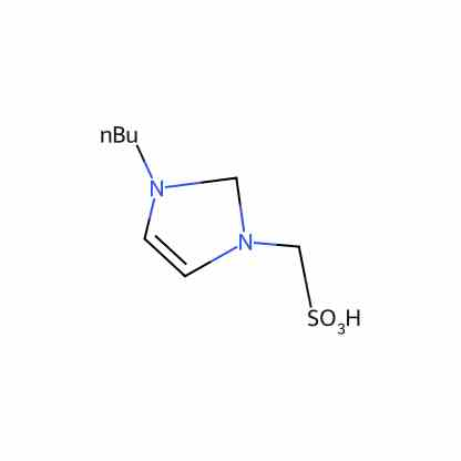 CCCCN1C=CN(CS(=O)(=O)O)C1